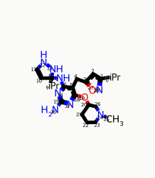 CC(C)c1cc(Cc2c(NC3(C(C)C)C=CNN3)nc(N)nc2OC2CCCN(C)C2)on1